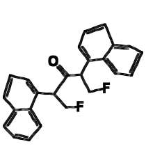 O=C(C(CF)c1cccc2ccccc12)C(CF)c1cccc2ccccc12